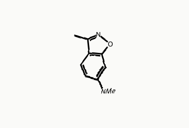 CNc1ccc2c(C)noc2c1